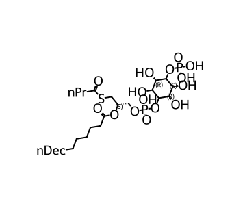 CCCCCCCCCCCCCCCC(=O)O[C@@H](COP(=O)(O)OC1C(O)[C@@H](O)C(OP(=O)(O)O)[C@@H](O)[C@H]1O)CSC(=O)CCC